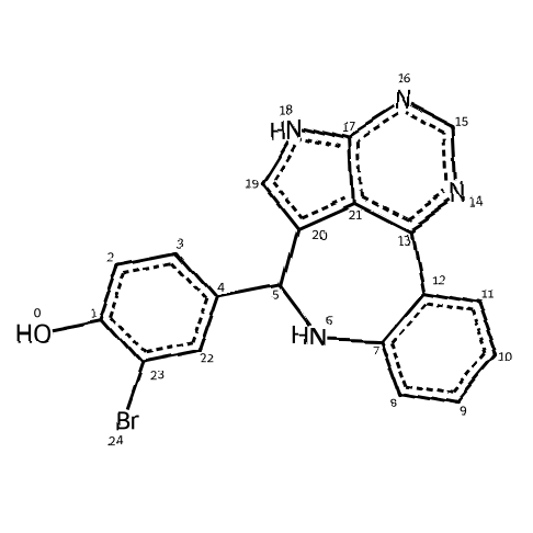 Oc1ccc(C2Nc3ccccc3-c3ncnc4[nH]cc2c34)cc1Br